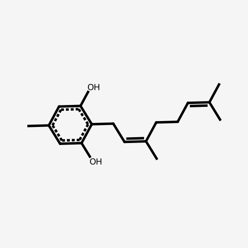 CC(C)=CCCC(C)=CCc1c(O)cc(C)cc1O